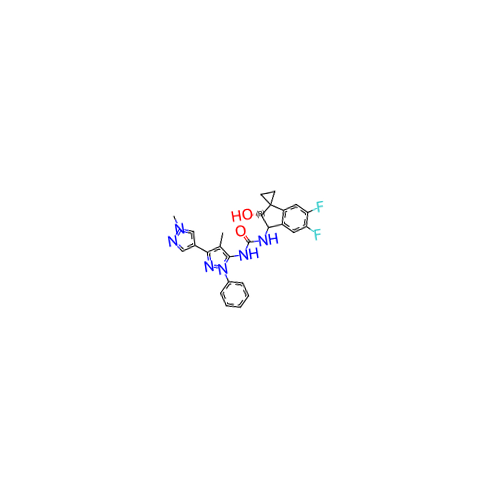 Cc1c(-c2cnn(C)c2)nn(-c2ccccc2)c1NC(=O)NC1c2cc(F)c(F)cc2C2(CC2)[C@H]1O